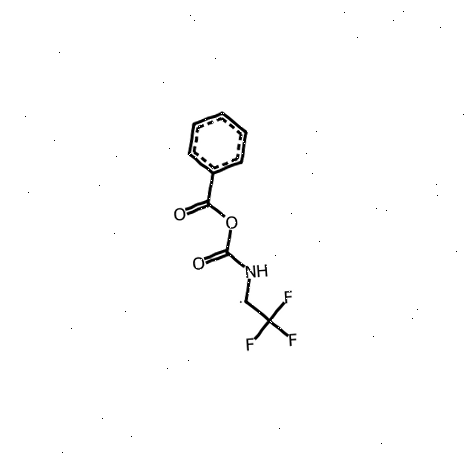 O=C(N[CH]C(F)(F)F)OC(=O)c1ccccc1